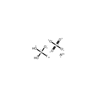 O=S(=O)([O-])[O-].[Al+3].[O-][Si](O)(O)F